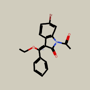 CCO/C(=C1/C(=O)N(C(C)=O)c2cc(Br)ccc21)c1ccccc1